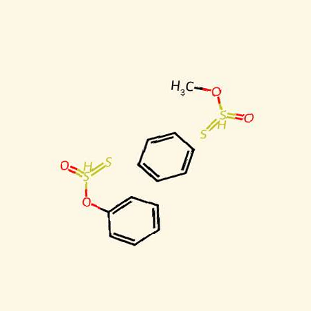 CO[SH](=O)=S.O=[SH](=S)Oc1ccccc1.c1ccccc1